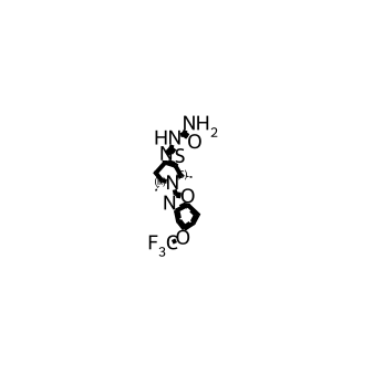 C[C@@H]1Cc2nc(NC(N)=O)sc2[C@H](C)N1c1nc2cc(OC(F)(F)F)ccc2o1